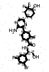 Nc1ncc([C@H]2CC[C@H](O)C(F)(F)C2)nc1-c1ccc(C(=O)N[C@H](CO)c2cc(F)cc(Br)c2)c(F)c1